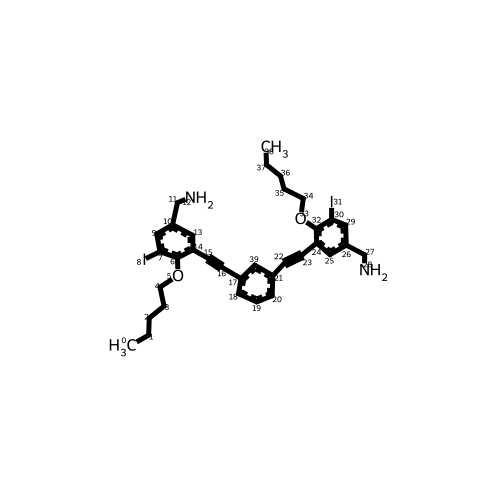 CCCCCOc1c(I)cc(CN)cc1C#Cc1cccc(C#Cc2cc(CN)cc(I)c2OCCCCC)c1